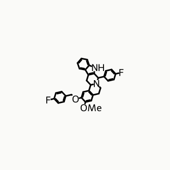 COc1cc2c(cc1OCc1ccc(F)cc1)C1Cc3c([nH]c4ccccc34)C(c3ccc(F)cc3)N1CC2